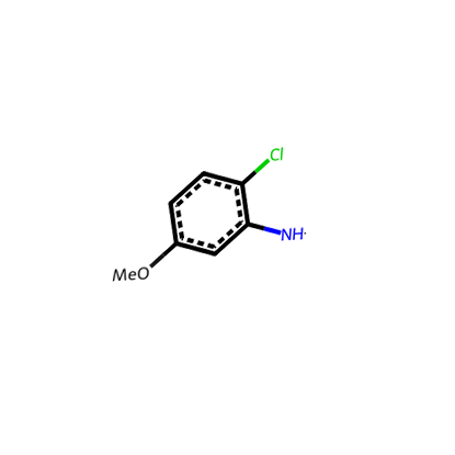 COc1ccc(Cl)c([NH])c1